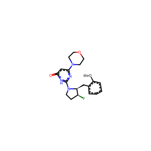 COc1ccccc1C[C@H]1[C@@H](F)CCN1c1nc(N2CCOCC2)cc(=O)[nH]1